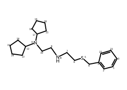 c1ccc(CSCCNCCN(C2CCCC2)C2CCCC2)cc1